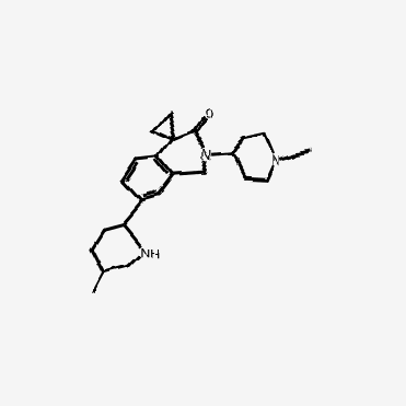 CC1CCC(c2ccc3c(c2)CN(C2CCN(C)CC2)C(=O)C32CC2)NC1